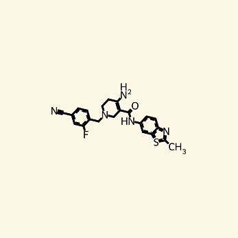 Cc1nc2ccc(NC(=O)C3=C(N)CCN(Cc4ccc(C#N)cc4F)C3)cc2s1